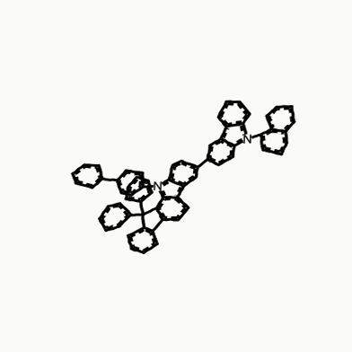 c1ccc(-c2ccc(-n3c4ccc(-c5ccc6c(c5)c5ccccc5n6-c5cccc6ccccc56)cc4c4ccc5c(c43)C(c3ccccc3)(c3ccccc3)c3ccccc3-5)cc2)cc1